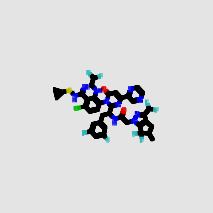 CC1Cc2c(C(F)F)nn(CC(=O)NC(Cc3cc(F)cc(F)c3)c3nc(-c4cnccn4)cc(=O)n3-c3ccc(Cl)c(C(=N)NSC4CC4)c3NCC(F)F)c2C1(F)F